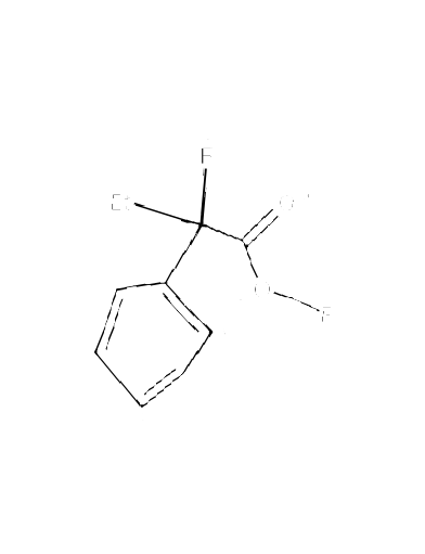 CCC(F)(C(=O)OF)c1ccccc1